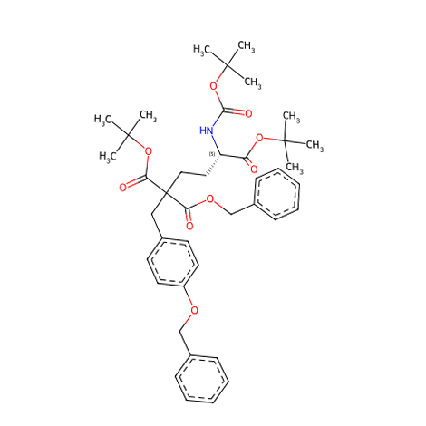 CC(C)(C)OC(=O)N[C@@H](CCC(Cc1ccc(OCc2ccccc2)cc1)(C(=O)OCc1ccccc1)C(=O)OC(C)(C)C)C(=O)OC(C)(C)C